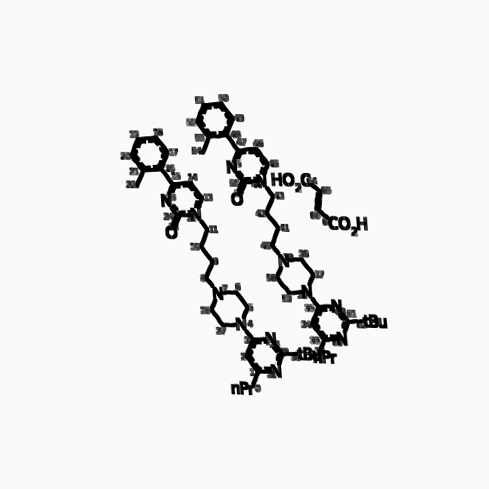 CCCc1cc(N2CCN(CCCCn3ccc(-c4ccccc4C)nc3=O)CC2)nc(C(C)(C)C)n1.CCCc1cc(N2CCN(CCCCn3ccc(-c4ccccc4C)nc3=O)CC2)nc(C(C)(C)C)n1.O=C(O)/C=C/C(=O)O